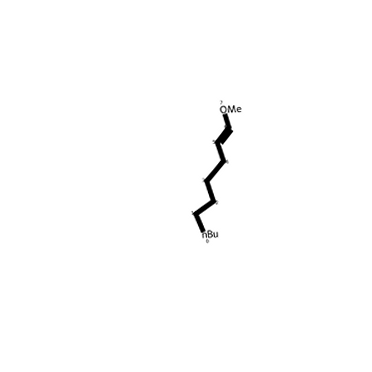 [CH2]CCCCCCCC=COC